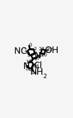 Cc1cc2c(cc1C#N)c(-c1cncc(N)c1Cl)cn2[C@H]1C[C@H](O)C1